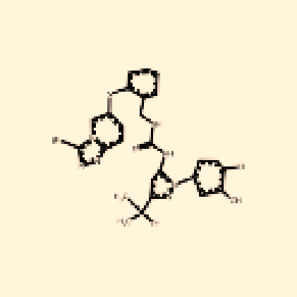 CCC(C)(C)c1cc(NC(=O)NCc2ccccc2Sc2ccc3nnc(C(C)C)n3c2)n(-c2ccc(Cl)c(O)c2)n1